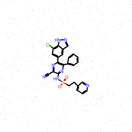 N#Cc1nc(-c2cc(Cl)c3[nH]ncc3c2)c(-c2ccccc2)nc1NS(=O)(=O)CCc1cccnc1